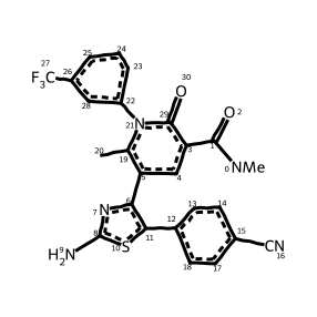 CNC(=O)c1cc(-c2nc(N)sc2-c2ccc(C#N)cc2)c(C)n(-c2cccc(C(F)(F)F)c2)c1=O